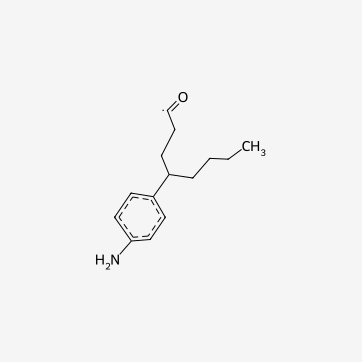 CCCCC(CC[C]=O)c1ccc(N)cc1